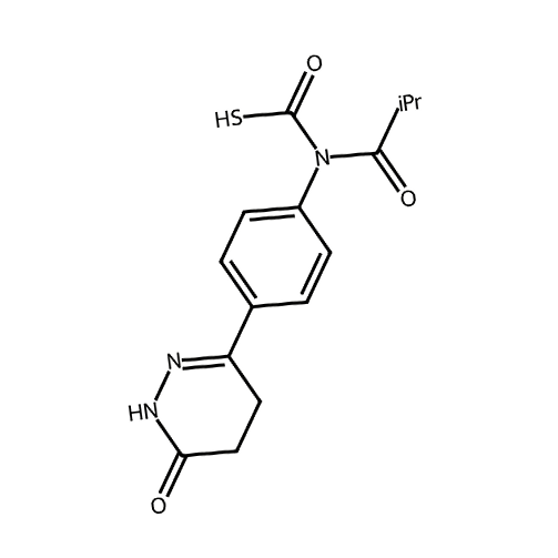 CC(C)C(=O)N(C(=O)S)c1ccc(C2=NNC(=O)CC2)cc1